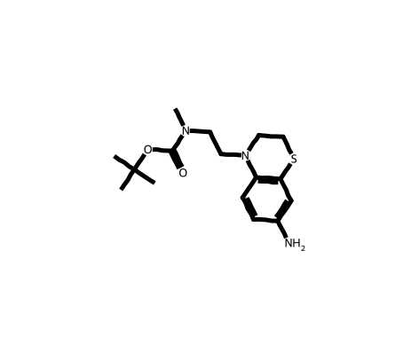 CN(CCN1CCSc2cc(N)ccc21)C(=O)OC(C)(C)C